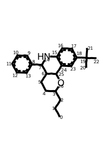 CCCC1CCC2C(c3ccccc3)Nc3ccc(C(C)(C)C)cc3C2O1